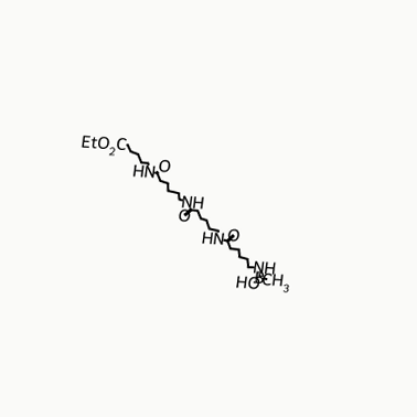 CCOC(=O)CCCCCNC(=O)CCCCCNC(=O)CCCCCNC(=O)CCCCCNB(C)O